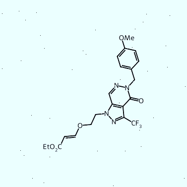 CCOC(=O)/C=C/OCCn1nc(C(F)(F)F)c2c(=O)n(Cc3ccc(OC)cc3)ncc21